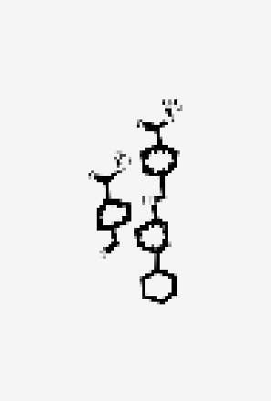 COC(=O)c1ccc(C=O)cc1.COC(=O)c1ccc(CNc2ccc(C3CCCCC3)cc2)cc1